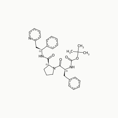 CC(C)(C)OC(=O)N[C@@H](Cc1ccccc1)C(=O)N1CCC[C@H]1C(=O)N[C@@H](Cc1ccccn1)c1ccccc1